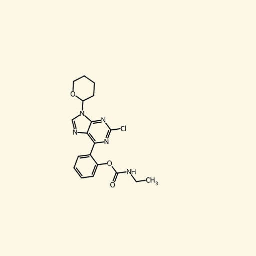 CCNC(=O)Oc1ccccc1-c1nc(Cl)nc2c1ncn2C1CCCCO1